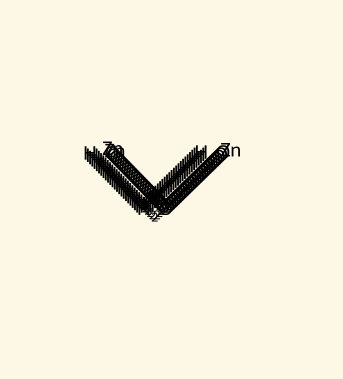 O.O.O.O.O.O.O.O.O.O.O.O.O.O.O.O.O.O.O.O.O.O.O.O.O.O.O.O.O.O.O.O.O.O.O.O.O.O.O.O.O.O.O.O.O.O.O.O.O.O.[Zn].[Zn].[Zn]